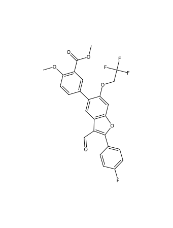 COC(=O)c1cc(-c2cc3c(C=O)c(-c4ccc(F)cc4)oc3cc2OCC(F)(F)F)ccc1OC